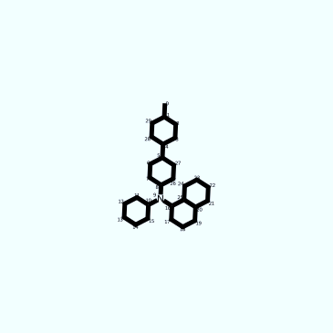 CC1CCC(C2CCC(N(C3CCCCC3)C3CCCC4CCCCC43)CC2)CC1